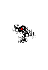 CC(C)(C)C(CCNC(=O)O)S1(Cc2ccc(C(F)(F)F)cc2)C=Nc2cccc(C(N)=O)c21